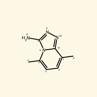 Cc1ccc(C)n2c(N)nnc12